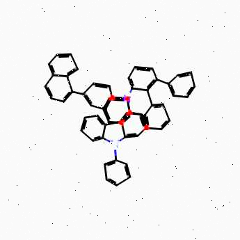 c1ccc(-c2ccccc2-c2c(-c3ccccc3)cccc2N(c2ccc(-c3cccc4ccccc34)cc2)c2cccc3c2c2ccccc2n3-c2ccccc2)cc1